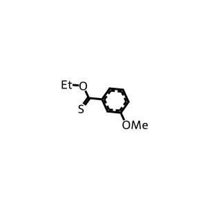 CCOC(=S)c1cccc(OC)c1